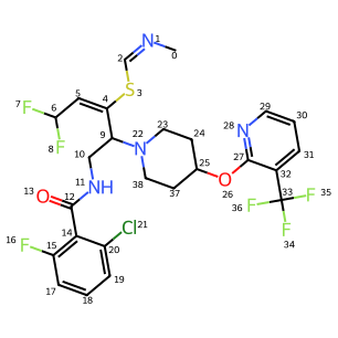 C/N=C\S/C(=C/C(F)F)C(CNC(=O)c1c(F)cccc1Cl)N1CCC(Oc2ncccc2C(F)(F)F)CC1